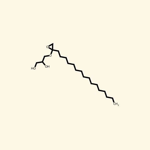 CCCCCCCCCCCCCCCCC1(OCC(O)CO)CO1